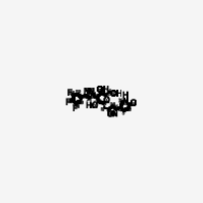 O=c1ccc(C2=NO[C@@H](C[C@H]3O[C@H](CO)[C@H](O)[C@H](n4cc(-c5cc(F)c(F)c(F)c5)nn4)[C@H]3O)C2)c[nH]1